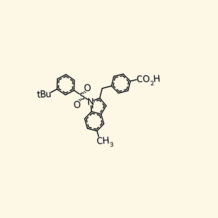 Cc1ccc2c(c1)cc(Cc1ccc(C(=O)O)cc1)n2S(=O)(=O)c1cccc(C(C)(C)C)c1